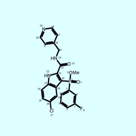 COP(=O)(c1cccc(F)c1)c1c(C(=O)NCc2ccncc2)[nH]c2ccc(Cl)cc12